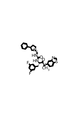 CN(C(=O)[C@H](Cc1cc(F)cc(F)c1)NC(=O)NSN1CCC(c2ccccc2)C1)c1ccc2scnc2c1